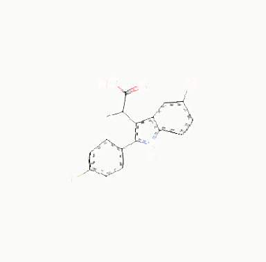 CC(C(=O)O)c1c(-c2ccc(F)cc2)[nH]c2ccc(Cl)cc12